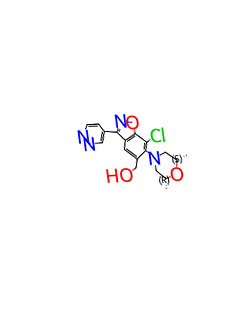 C[C@@H]1CN(c2c(CO)cc3c(-c4ccnnc4)noc3c2Cl)C[C@H](C)O1